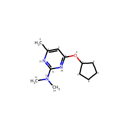 Cc1cc(OC2CCCC2)nc(N(C)C)n1